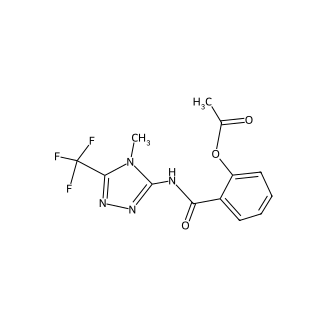 CC(=O)Oc1ccccc1C(=O)Nc1nnc(C(F)(F)F)n1C